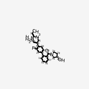 C\C=C(N)/N=C\C(=C/N)c1ccc(-c2ccccc2C(=O)N2CC[C@H](O)C2)cc1F